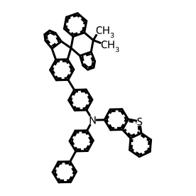 CC1(C)c2ccccc2C2(c3ccccc3-c3ccc(-c4ccc(N(c5ccc(-c6ccccc6)cc5)c5ccc6sc7ccccc7c6c5)cc4)cc32)c2ccccc21